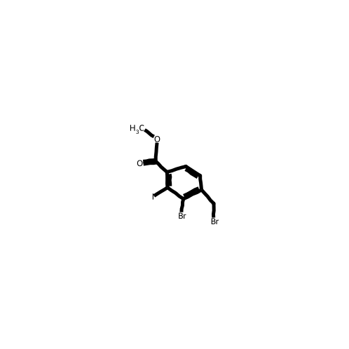 COC(=O)c1ccc(CBr)c(Br)c1I